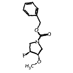 CO[C@@H]1CN(C(=O)OCc2ccccc2)C[C@@H]1F